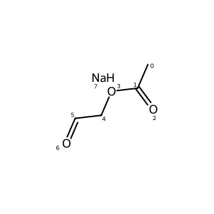 CC(=O)OCC=O.[NaH]